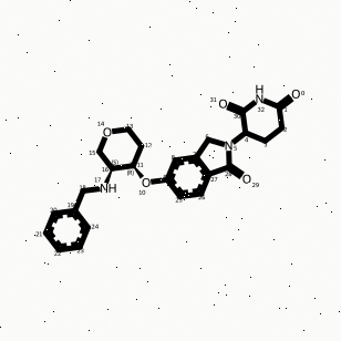 O=C1CCC(N2Cc3cc(O[C@@H]4CCOC[C@@H]4NCc4ccccc4)ccc3C2=O)C(=O)N1